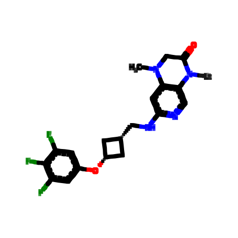 CCN1C(=O)CN(C)c2cc(NC[C@H]3C[C@@H](Oc4cc(F)c(F)c(F)c4)C3)ncc21